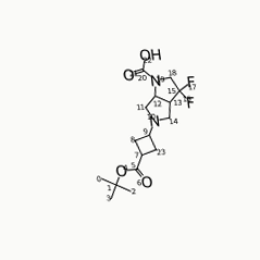 CC(C)(C)OC(=O)C1CC(N2CC3C(C2)C(F)(F)CN3C(=O)O)C1